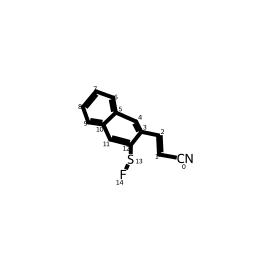 N#C/C=C/c1cc2ccccc2cc1SF